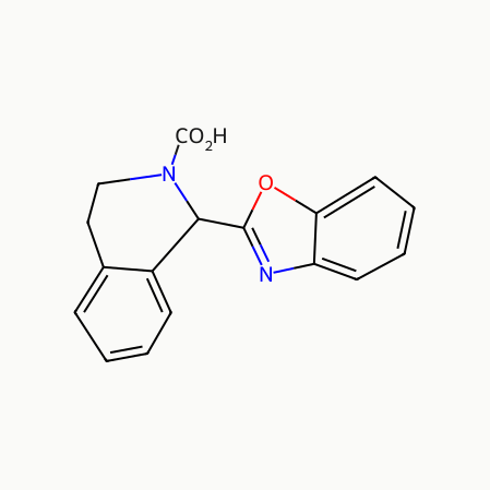 O=C(O)N1CCc2ccccc2C1c1nc2ccccc2o1